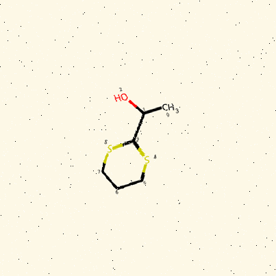 CC(O)C1SCCCS1